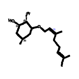 CC(C)=CCC/C(C)=C\COC1C[C@@H](C)C[C@@H](O)[C@@H]1C(C)C